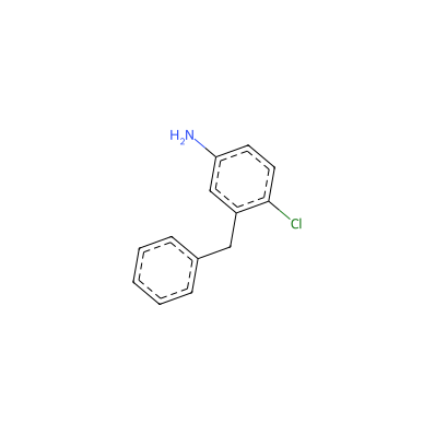 Nc1ccc(Cl)c(Cc2ccccc2)c1